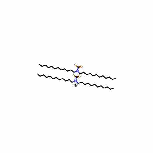 CCCCCCCCCCCCN(CCCCCCCCCCCC)C(=S)[S-].CCCCCCCCCCCCN(CCCCCCCCCCCC)C(=S)[S-].[Ni+2]